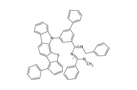 C=N/C(=N\C(=N/Cc1ccccc1)c1cc(-c2ccccc2)cc(-n2c3ccccc3c3ccc4c(sc5cccc(-c6ccccc6)c54)c32)c1)c1ccccc1